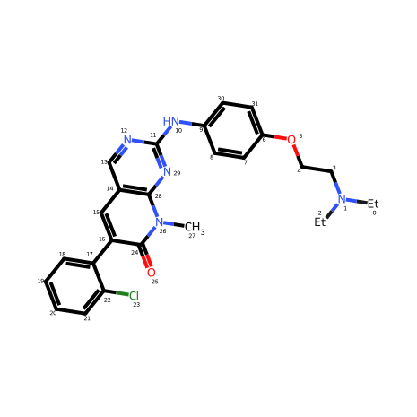 CCN(CC)CCOc1ccc(Nc2ncc3cc(-c4ccccc4Cl)c(=O)n(C)c3n2)cc1